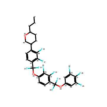 CCCC1CCC(c2ccc(C(F)(F)Oc3ccc(C(F)(F)Oc4cc(F)c(F)c(F)c4)c(F)c3F)c(F)c2F)CO1